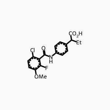 CCC(C(=O)O)c1ccc(NC(=O)c2c(Cl)ccc(OC)c2F)cc1